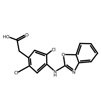 O=C(O)Cc1cc(Cl)c(Nc2nc3ccccc3o2)cc1Cl